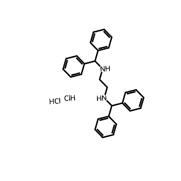 Cl.Cl.c1ccc(C(NCCNC(c2ccccc2)c2ccccc2)c2ccccc2)cc1